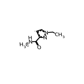 CCn1c[c]c(C(=O)NC)n1